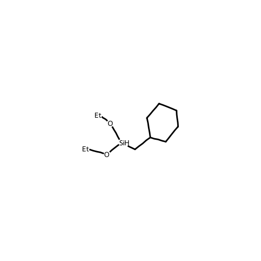 CCO[SiH](CC1CCCCC1)OCC